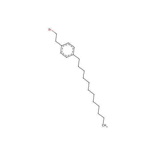 CCCCCCCCCCCCc1ccc(CCBr)cc1